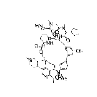 CCn1c(-c2cc(C3CCN(C)CC3)cnc2[C@H](C)OC)c2c3cc(ccc31)-c1cc(O)cc(c1)C[C@H](NC(=O)[C@H](C1CCCC1)N(C)C(=O)CN(C)C(=O)[C@H]1CN1)C(=O)N1CCC[C@H](N1)C(=O)OCC(C)(C)C2